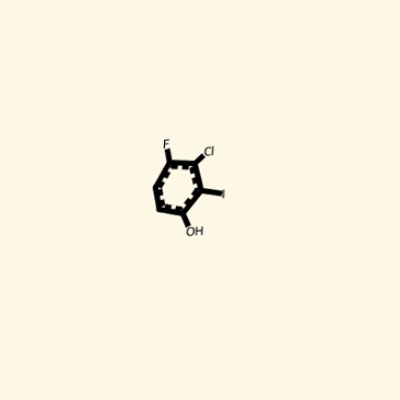 Oc1ccc(F)c(Cl)c1I